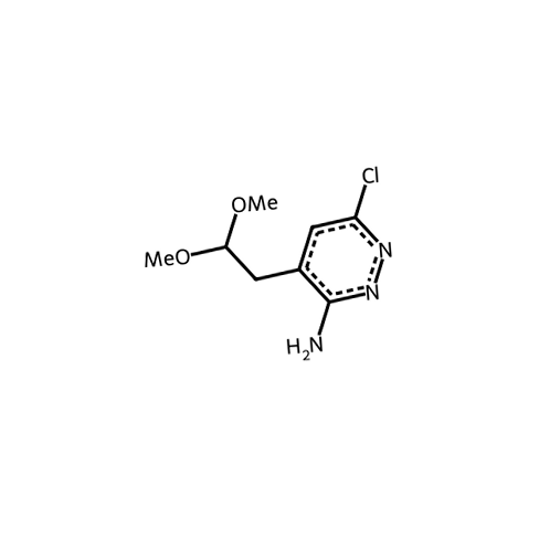 COC(Cc1cc(Cl)nnc1N)OC